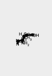 Cc1cc(OCCCN2CC[C@@H](O)C2)ccc1-c1cccc(COc2cc(OCc3cncc(C#N)c3)c(CN)cc2Cl)c1C